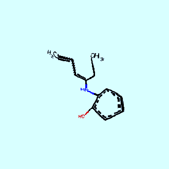 C=C/C=C(\CC)Nc1ccccc1O